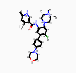 C=C1C=C(C(F)(F)F)C(C(=O)Nc2cc(-c3ccc(N4CCOCC4)cc3)c(F)cc2N2C[C@@H](C)N(C)[C@@H](C)C2)=CN1